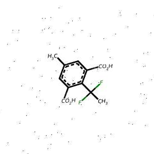 Cc1cc(C(=O)O)c(C(C)(F)F)c(C(=O)O)c1